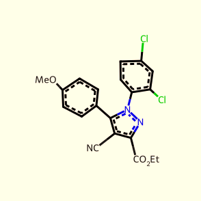 CCOC(=O)c1nn(-c2ccc(Cl)cc2Cl)c(-c2ccc(OC)cc2)c1C#N